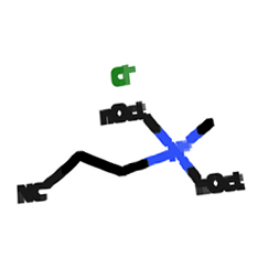 CCCCCCCC[N+](C)(CCC#N)CCCCCCCC.[Cl-]